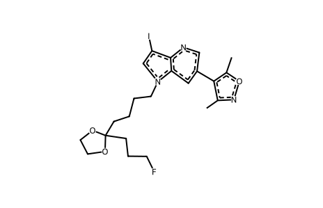 Cc1noc(C)c1-c1cnc2c(I)cn(CCCCC3(CCCF)OCCO3)c2c1